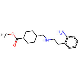 COC(=O)[C@H]1CC[C@H](CNCCc2ccccc2N)CC1